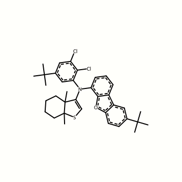 CC(C)(C)c1cc(Cl)c(Cl)c(N(C2=CSC3(C)CCCCC23C)c2cccc3c2oc2ccc(C(C)(C)C)cc23)c1